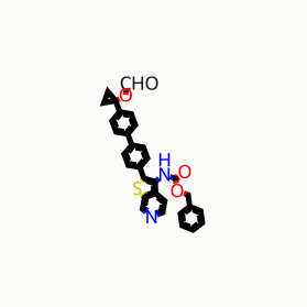 O=COC1(c2ccc(-c3ccc(-c4sc5cnccc5c4NC(=O)OCc4ccccc4)cc3)cc2)CC1